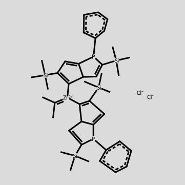 C[C](C)=[Zr+2]([C]1=C([Si](C)(C)C)C=C2C1C=C([Si](C)(C)C)P2c1ccccc1)[C]1=C([Si](C)(C)C)C=C2C1C=C([Si](C)(C)C)P2c1ccccc1.[Cl-].[Cl-]